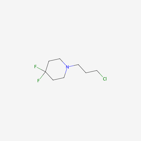 FC1(F)CCN(CCCCl)CC1